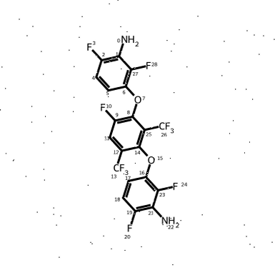 Nc1c(F)ccc(Oc2c(F)cc(C(F)(F)F)c(Oc3ccc(F)c(N)c3F)c2C(F)(F)F)c1F